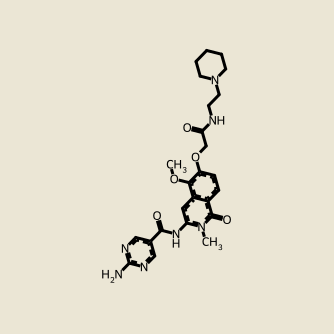 COc1c(OCC(=O)NCCN2CCCCC2)ccc2c(=O)n(C)c(NC(=O)c3cnc(N)nc3)cc12